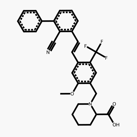 COc1cc(/C=C/c2cccc(-c3ccccc3)c2C#N)c(C(F)(F)F)cc1CN1CCCCC1C(=O)O